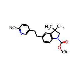 CC(C)(C)OC(=O)N1CC(C)(C)c2cc(CCc3ccc(C#N)nc3)ccc21